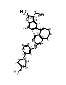 CC1=Nc2c(F)cc(C3=CCCCc4nc(Nc5ccnc(N6CCN(C)CC6)c5)ncc43)cc2[C@@H]1CC(C)C